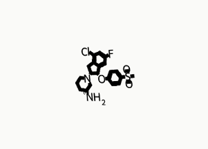 CS(=O)(=O)c1ccc(OC2c3cc(F)cc(Cl)c3CC2N2CCC[C@@H](N)C2)cc1